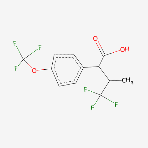 CC(C(C(=O)O)c1ccc(OC(F)(F)F)cc1)C(F)(F)F